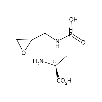 C[C@H](N)C(=O)O.O=[PH](O)NCC1CO1